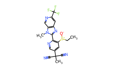 CC[S+]([O-])c1cc(C(C)(C#N)C#N)cnc1-c1nc2cc(C(F)(F)F)ncc2n1C